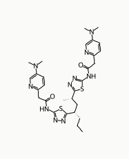 CCC[C@@H](C[C@H](C)c1nnc(NC(=O)Cc2ccc(N(C)C)cn2)s1)c1nnc(NC(=O)Cc2ccc(N(C)C)cn2)s1